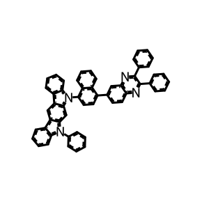 c1ccc(-c2nc3ccc(-c4ccc(-n5c6ccccc6c6cc7c8ccccc8n(-c8ccccc8)c7cc65)c5ccccc45)cc3nc2-c2ccccc2)cc1